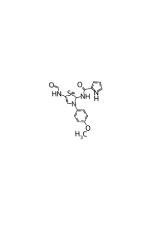 COc1ccc(N2C=C(NC=O)[Se]C2NC(=O)c2ccc[nH]2)cc1